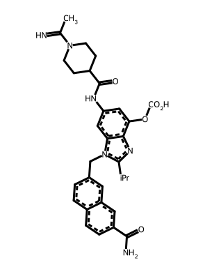 CC(=N)N1CCC(C(=O)Nc2cc(OC(=O)O)c3nc(C(C)C)n(Cc4ccc5ccc(C(N)=O)cc5c4)c3c2)CC1